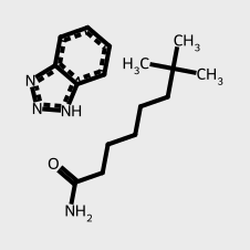 CC(C)(C)CCCCCC(N)=O.c1ccc2[nH]nnc2c1